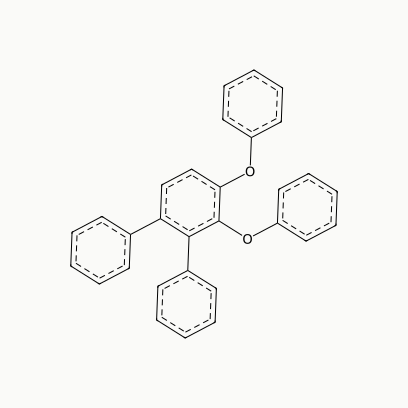 c1ccc(Oc2ccc(-c3ccccc3)c(-c3ccccc3)c2Oc2ccccc2)cc1